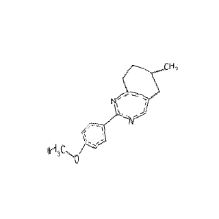 COc1ccc(-c2ncc3c(n2)CCC(C)C3)cc1